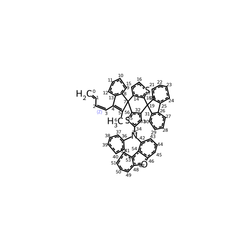 C=C/C=C\C1=C(C)C2(c3ccccc31)c1ccsc1C1(c3ccccc3-c3ccccc31)c1cc(N(c3ccccc3)c3cccc4oc5ccccc5c34)sc12